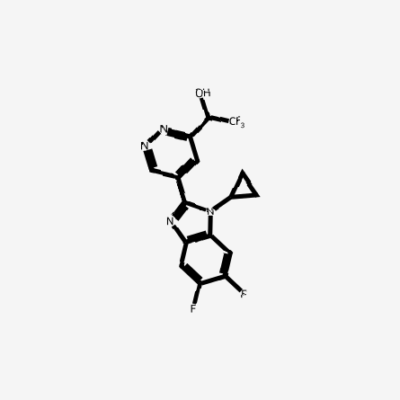 OC(c1cc(-c2nc3cc(F)c(F)cc3n2C2CC2)cnn1)C(F)(F)F